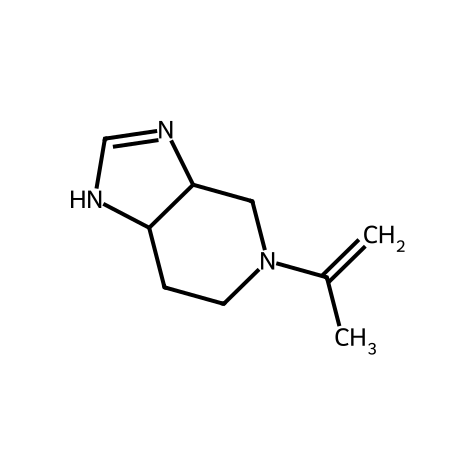 C=C(C)N1CCC2NC=NC2C1